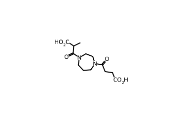 CC(C(=O)O)C(=O)N1CCCN(C(=O)CCC(=O)O)CC1